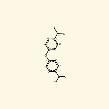 CC(C)c1ccc(Oc2ccc(C(C)C)cc2)cc1